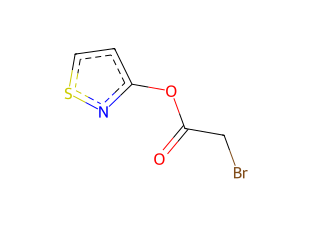 O=C(CBr)Oc1ccsn1